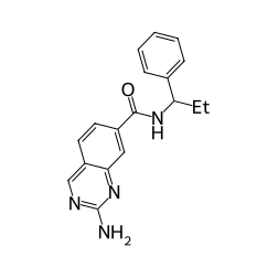 CCC(NC(=O)c1ccc2cnc(N)nc2c1)c1ccccc1